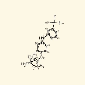 CC(C)(C)[Si](C)(C)Oc1ccc(Nc2cccc(C(F)(F)F)c2)cc1